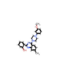 COc1cccc(N2CCN(c3nc(-c4ccccc4O)nc4cc(C)ccc34)CC2)c1